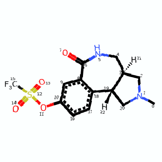 CN1C[C@@H]2CNC(=O)c3cc(OS(=O)(=O)C(F)(F)F)ccc3[C@H]2C1